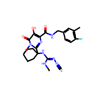 [C-]#[N+]/N=C(\NC)NC12CCC(CC1)Cn1c2nc(C(=O)NCc2ccc(F)c(C)c2)c(O)c1=O